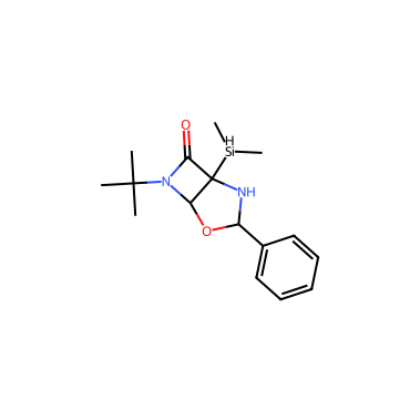 C[SiH](C)C12NC(c3ccccc3)OC1N(C(C)(C)C)C2=O